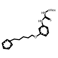 CCCCCCNC(=S)Nc1cccc(OCCCCCc2ccccc2)c1